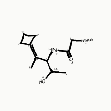 CNCC(=O)NC(C(C)=C1CCC1)C(C)O